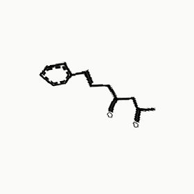 CC(=O)CC(=O)CC=Cc1ccccc1